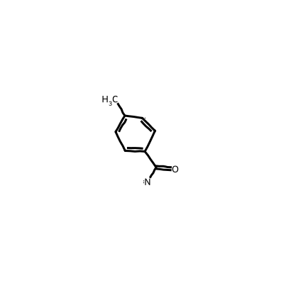 Cc1[c]cc(C([N])=O)cc1